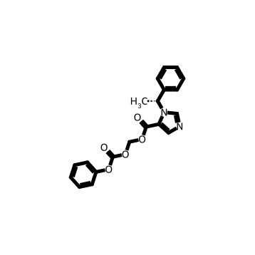 C[C@H](c1ccccc1)n1cncc1C(=O)OCOC(=O)Oc1ccccc1